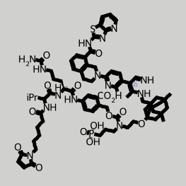 C/C(NCC12CC3(C)CC(C)(C1)CC(OCCN(CCCP(=O)(O)O)C(=O)OCc1ccc(NC(=O)[C@H](CCCNC(N)=O)NC(=O)C(NC(=O)CCCCCN4C(=O)C=CC4=O)C(C)C)cc1)(C3)C2)=C(/C=N)c1ccc(N2CCc3cccc(C(=O)Nc4nc5ncccc5s4)c3C2)nc1C(=O)O